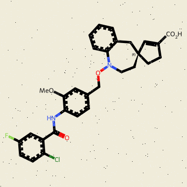 COc1cc(CON2CC[C@]3(C=C(C(=O)O)CC3)Cc3ccccc32)ccc1NC(=O)c1cc(F)ccc1Cl